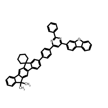 CC1(C)c2ccccc2-c2cc3c(cc21)-c1ccc(-c2ccc(-c4cc(-c5ccc6c(c5)oc5ccccc56)nc(-c5ccccc5)n4)cc2)cc1C31CCCCC1